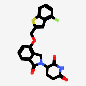 O=C1CCC(N2Cc3c(OCc4cc5c(F)cccc5s4)cccc3C2=O)C(=O)N1